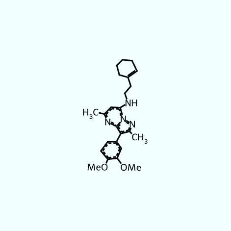 COc1ccc(-c2c(C)nn3c(NCCC4=CCCCC4)cc(C)nc23)cc1OC